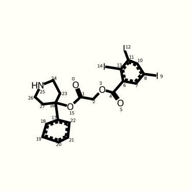 O=C(COC(=O)c1cc(I)cc(I)c1I)OC1(c2ccccc2)CCNCC1